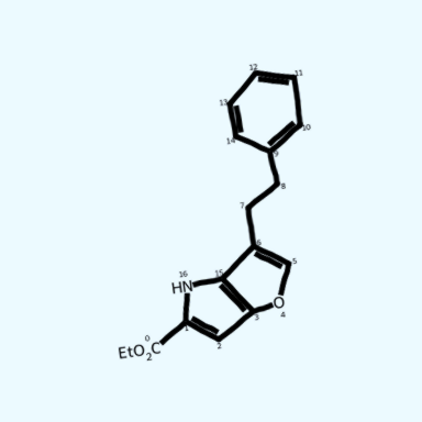 CCOC(=O)c1cc2occ(CCc3ccccc3)c2[nH]1